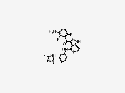 Cc1nnc(-c2cccc(Nc3ncnc4[nH]cc(C(=O)c5c(F)ccc(N)c5F)c34)c2)[nH]1